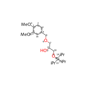 COc1ccc(COCC(O)CO[Si](C(C)C)(C(C)C)C(C)C)cc1OC